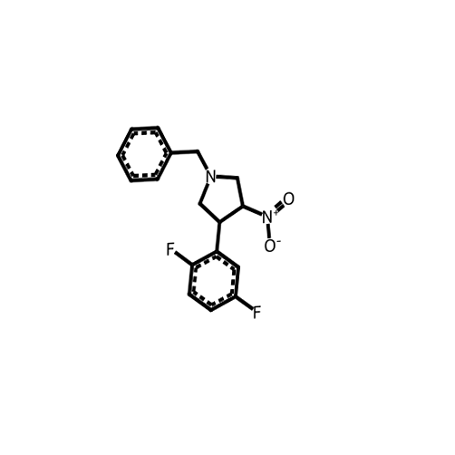 O=[N+]([O-])C1CN(Cc2ccccc2)CC1c1cc(F)ccc1F